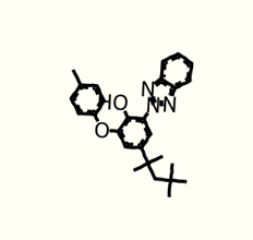 Cc1ccc(Oc2cc(C(C)(C)CC(C)(C)C)cc(-n3nc4ccccc4n3)c2O)cc1